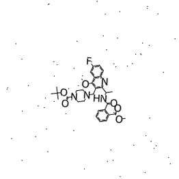 COC(=O)c1ccccc1C(=O)NC(C)c1nc2ccc(F)cc2c(OC)c1CN1CCN(C(=O)OC(C)(C)C)CC1